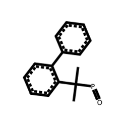 CC(C)(P=O)c1ccccc1-c1ccccc1